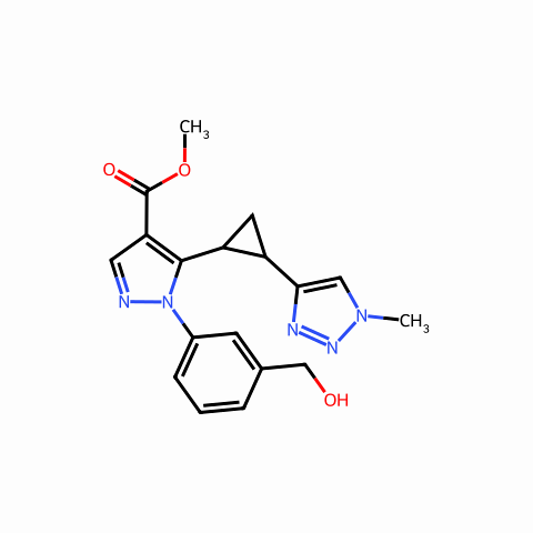 COC(=O)c1cnn(-c2cccc(CO)c2)c1C1CC1c1cn(C)nn1